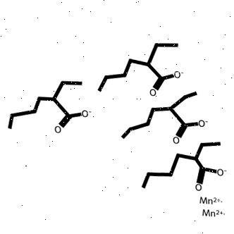 CCCCC(CC)C(=O)[O-].CCCCC(CC)C(=O)[O-].CCCCC(CC)C(=O)[O-].CCCCC(CC)C(=O)[O-].[Mn+2].[Mn+2]